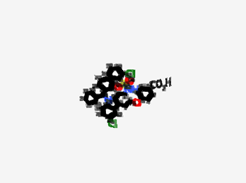 O=C(O)c1ccc(OCCc2c(CCNS(=O)(=O)c3ccccc3Cl)n(C(c3ccccc3)c3ccccc3)c3ccc(Cl)cc23)cc1